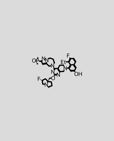 CCc1c(F)ccc2cc(O)cc(N3CCc4c(nc(OC[C@@]56CCCN5C[C@H](F)C6)nc4N4CCCn5nc(P(C)(C)=O)cc5C4)C3)c12